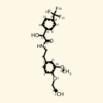 C#CCOc1ccc(CCNC(=O)C(O)c2ccc(C(F)(F)F)cc2)cc1OC